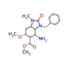 COC(=O)c1c(OC)cc2c(c1N)n(Cc1ccccc1)c(=O)n2C